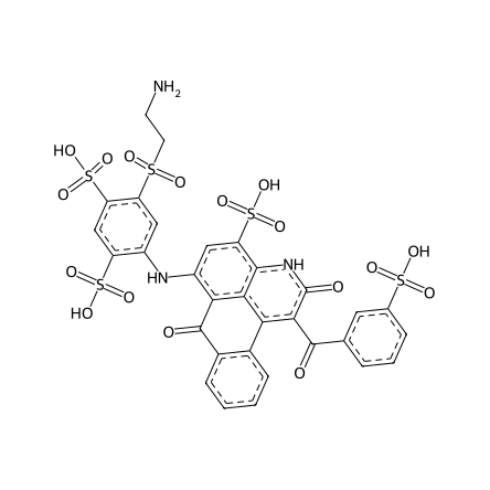 NCCS(=O)(=O)c1cc(Nc2cc(S(=O)(=O)O)c3[nH]c(=O)c(C(=O)c4cccc(S(=O)(=O)O)c4)c4c3c2C(=O)c2ccccc2-4)c(S(=O)(=O)O)cc1S(=O)(=O)O